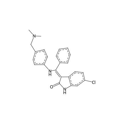 CN(C)Cc1ccc(N/C(=C2\C(=O)Nc3cc(Cl)ccc32)c2ccccc2)cc1